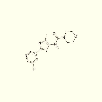 Cc1nc(-c2cncc(F)c2)sc1N(C)C(=O)N1CCOCC1